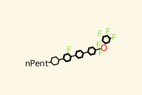 CCCCCC1CCC(c2ccc(-c3ccc(-c4ccc(C(F)(F)Oc5cc(F)c(F)c(F)c5)cc4)cc3)c(F)c2)CC1